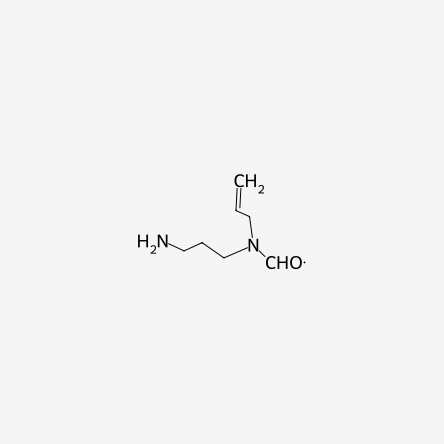 C=CCN([C]=O)CCCN